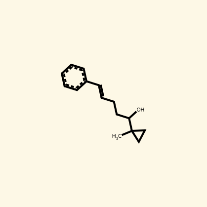 CC1(C(O)CCC=Cc2ccccc2)CC1